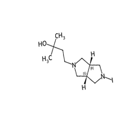 CC(C)(O)CCN1C[C@H]2CN(I)C[C@H]2C1